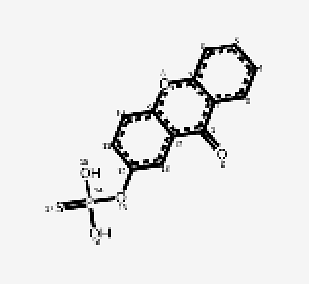 O=c1c2ccccc2oc2ccc(OP(O)(O)=S)cc12